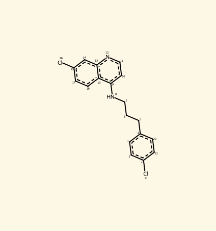 Clc1ccc(CCCNc2ccnc3cc(Cl)ccc23)cc1